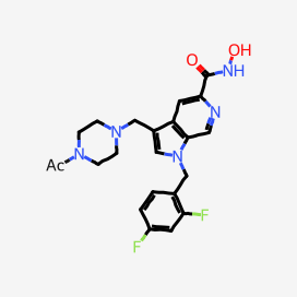 CC(=O)N1CCN(Cc2cn(Cc3ccc(F)cc3F)c3cnc(C(=O)NO)cc23)CC1